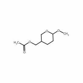 COC1CCC(COC(C)=O)CO1